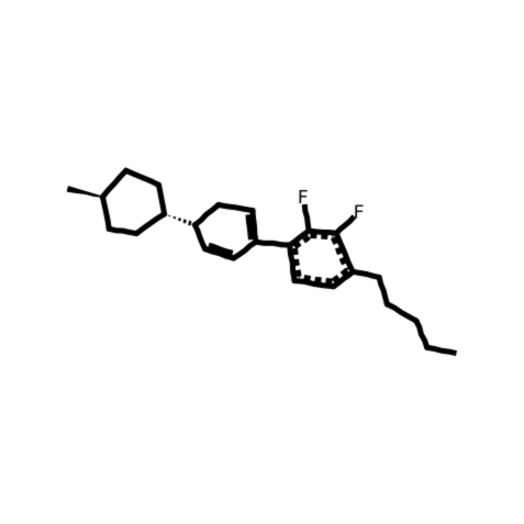 CCCCCc1ccc(C2=CCC([C@H]3CC[C@H](C)CC3)C=C2)c(F)c1F